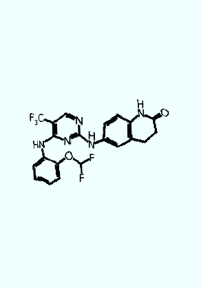 O=C1CCc2cc(Nc3ncc(C(F)(F)F)c(Nc4ccccc4OC(F)F)n3)ccc2N1